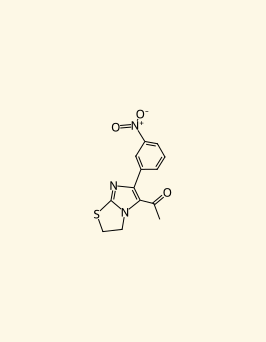 CC(=O)c1c(-c2cccc([N+](=O)[O-])c2)nc2n1CCS2